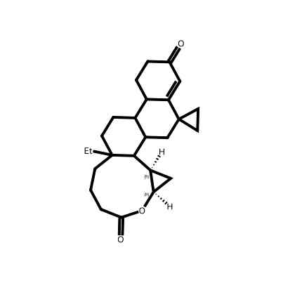 CCC12CCCC(=O)O[C@@H]3C[C@@H]3C1C1CC3(CC3)C3=CC(=O)CCC3C1CC2